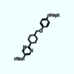 CCCCCCCCCc1cnc(C2CCC(COc3ccc(CCCCCCC)cc3)CC2)nc1